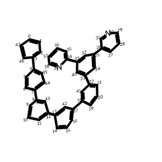 c1ccc(-c2ccc(-c3cccc(-c4cccc(-c5cccc(-c6cc(-c7cccnc7)cc(-c7ccccn7)c6)c5)c4)c3)cc2)cc1